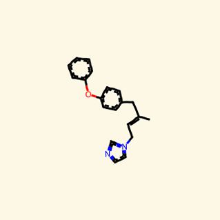 CC(=CCn1ccnc1)Cc1ccc(Oc2ccccc2)cc1